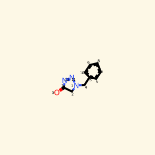 O=C1CN(Cc2ccccc2)N=N1